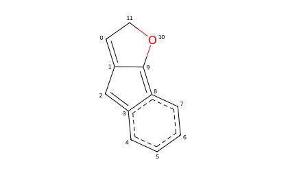 C1=C2C=c3ccccc3=C2OC1